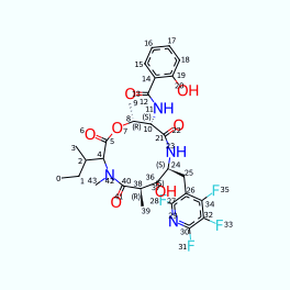 CCC(C)C1C(=O)O[C@H](C)[C@H](NC(=O)c2ccccc2O)C(=O)N[C@@H](Cc2c(F)nc(F)c(F)c2F)[C@@H](O)[C@@H](C)C(=O)N1C